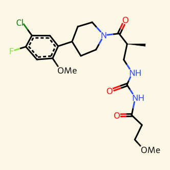 COCCC(=O)NC(=O)NC[C@H](C)C(=O)N1CCC(c2cc(Cl)c(F)cc2OC)CC1